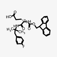 CC(C)(Cc1ccc(F)cc1)NC(=O)[C@H](CCC(=O)O)NC(=O)OCC1c2ccccc2-c2ccccc21